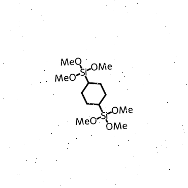 CO[Si](OC)(OC)C1CCC([Si](OC)(OC)OC)CC1